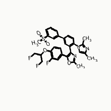 Cc1cn(-c2ccc(-c3cccc(S(C)(=O)=O)c3)cc2-c2nc(C)oc2-c2ccc(OC(CF)CF)c(F)c2)c(C)n1